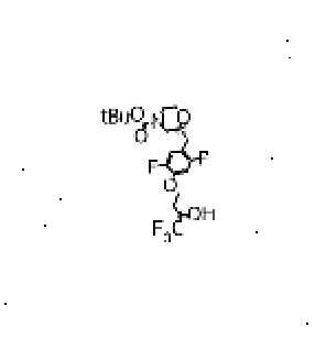 CC(C)(C)OC(=O)N1CCO[C@H](Cc2cc(F)c(OCC[C@@H](O)C(F)(F)F)cc2F)C1